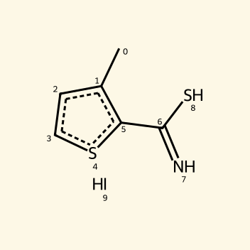 Cc1ccsc1C(=N)S.I